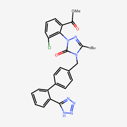 CCCCc1nn(-c2c(Cl)cccc2C(=O)OC)c(=O)n1Cc1ccc(-c2ccccc2-c2nnn[nH]2)cc1